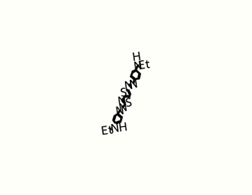 CCNc1ccc(N=Nc2cc3sc(N=Nc4ccc(NCC)cc4)nc3s2)cc1